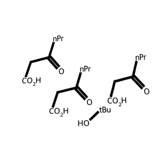 CC(C)(C)O.CCCC(=O)CC(=O)O.CCCC(=O)CC(=O)O.CCCC(=O)CC(=O)O